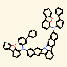 c1ccc(-c2cccc(N(c3ccc4cc5c6cccc7c8cc9ccc(N(c%10cccc(-c%11ccccc%11)c%10)c%10cccc%11c%10oc%10ccccc%10%11)cc9cc8n(c5cc4c3)c67)c3cccc4c3oc3ccccc34)c2)cc1